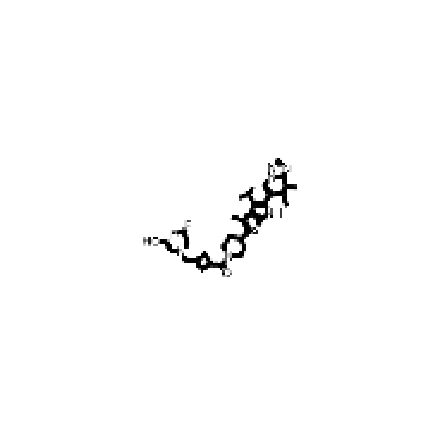 Cc1c(-c2[nH]c3sc(C4CCN(C(=O)C5CC(CN(CCO)CC(F)F)C5)CC4)c(C)c3c2C(C)C)cn2ncnc2c1C